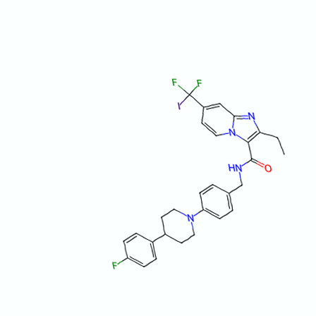 CCc1nc2cc(C(F)(F)I)ccn2c1C(=O)NCc1ccc(N2CCC(c3ccc(F)cc3)CC2)cc1